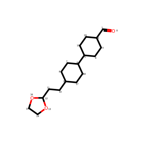 O=CC1CCC(C2CCC(CCC3OCCO3)CC2)CC1